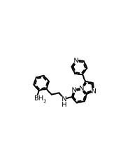 Bc1ccccc1CCNc1ccc2ncc(-c3ccncc3)n2n1